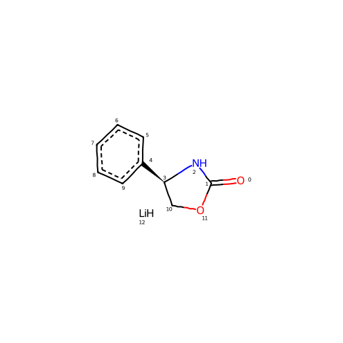 O=C1N[C@H](c2ccccc2)CO1.[LiH]